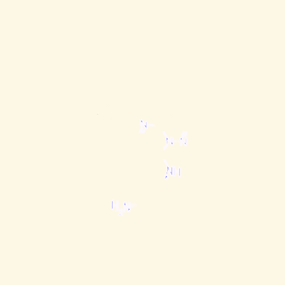 N[C@H]1CC[C@H](Nc2cc(C(F)C3CC3)nc3ccnn23)C1